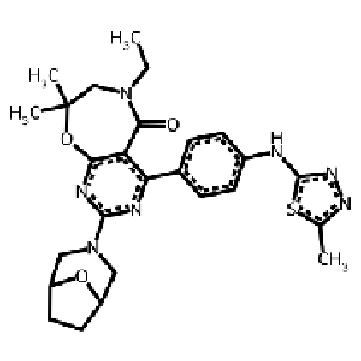 CCN1CC(C)(C)Oc2nc(N3CC4CCC(C3)O4)nc(-c3ccc(Nc4nnc(C)s4)cc3)c2C1=O